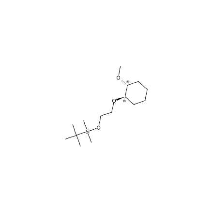 CO[C@@H]1CCCC[C@H]1OCCO[Si](C)(C)C(C)(C)C